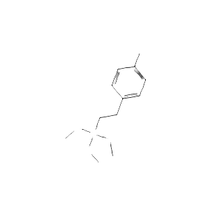 CO[Si](CCc1ccc(I)cc1)(OC)OC